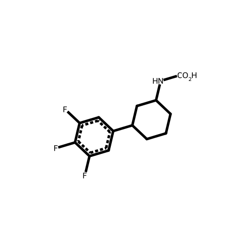 O=C(O)NC1CCCC(c2cc(F)c(F)c(F)c2)C1